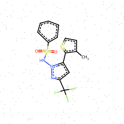 Cc1ccsc1-c1cc(C(F)(F)F)nn1NS(=O)(=O)c1ccccc1